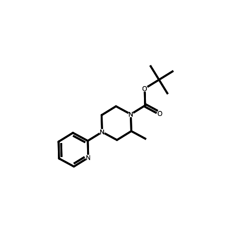 CC1CN(c2ccccn2)CCN1C(=O)OC(C)(C)C